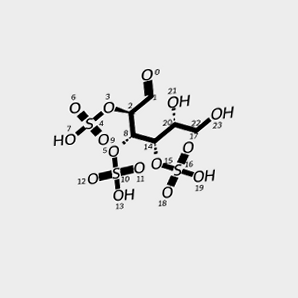 O=C[C@H](OS(=O)(=O)O)[C@@H](OS(=O)(=O)O)[C@@H](OS(=O)(=O)O)[C@H](O)CO